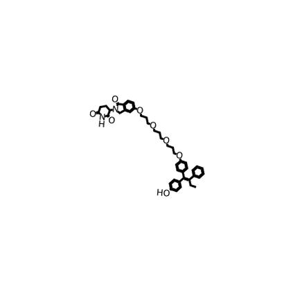 CC/C(=C(\c1ccc(O)cc1)c1ccc(OCCCOCCCOCCCOc2ccc3c(c2)CN(C2CCC(=O)NC2=O)C3=O)cc1)c1ccccc1